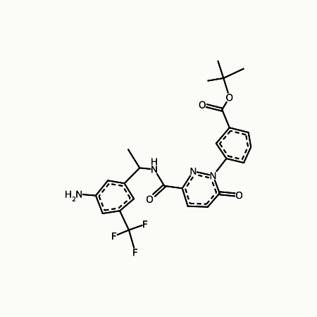 CC(NC(=O)c1ccc(=O)n(-c2cccc(C(=O)OC(C)(C)C)c2)n1)c1cc(N)cc(C(F)(F)F)c1